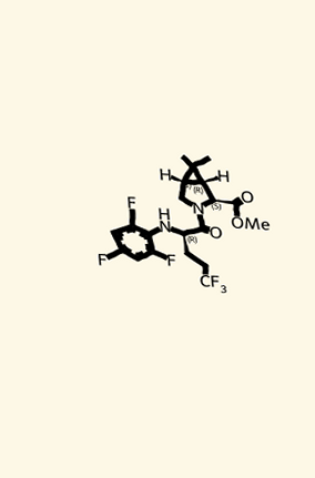 COC(=O)[C@@H]1[C@@H]2[C@H](CN1C(=O)[C@@H](CCC(F)(F)F)Nc1c(F)cc(F)cc1F)C2(C)C